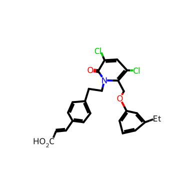 CCc1cccc(OCc2c(Cl)cc(Cl)c(=O)n2CCc2ccc(C=CC(=O)O)cc2)c1